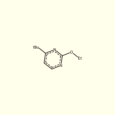 CCOc1nccc(C(C)(C)C)n1